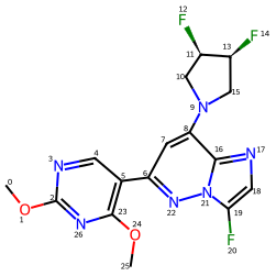 COc1ncc(-c2cc(N3C[C@@H](F)[C@@H](F)C3)c3ncc(F)n3n2)c(OC)n1